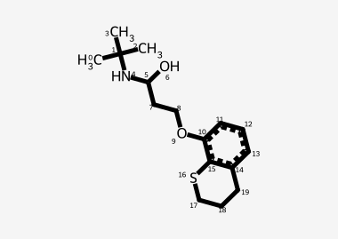 CC(C)(C)NC(O)CCOc1cccc2c1SCCC2